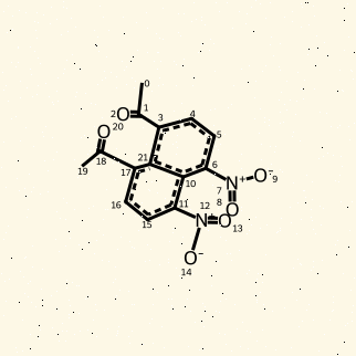 CC(=O)c1ccc([N+](=O)[O-])c2c([N+](=O)[O-])ccc(C(C)=O)c12